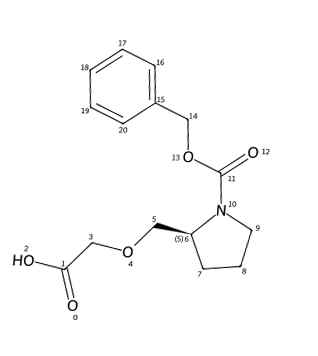 O=C(O)COC[C@@H]1CCCN1C(=O)OCc1ccccc1